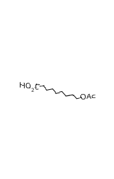 CC(=O)OCCCCCCCCC(=O)O